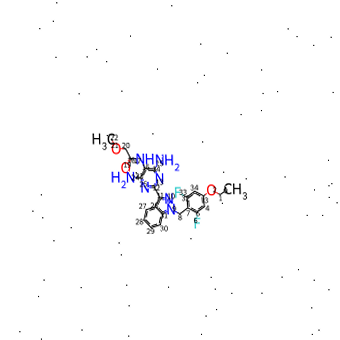 CCOc1cc(F)c(Cn2nc(-c3nc(N)c(NC(=O)COC)c(N)n3)c3ccccc32)c(F)c1